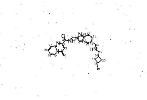 C=C1C=C(C(=O)NCc2cn3cc(CNCC4CC(C)C4)ccc3n2)N=C2C=CC=CN12